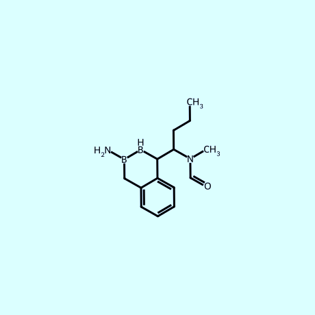 CCCC(C1BB(N)Cc2ccccc21)N(C)C=O